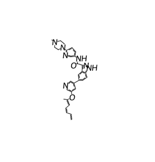 C=C/C=C\C=C(/C)Oc1cncc(-c2ccc3[nH]nc(C(=O)Nc4ccc(N5CCN(C)CC5)nc4)c3c2)c1